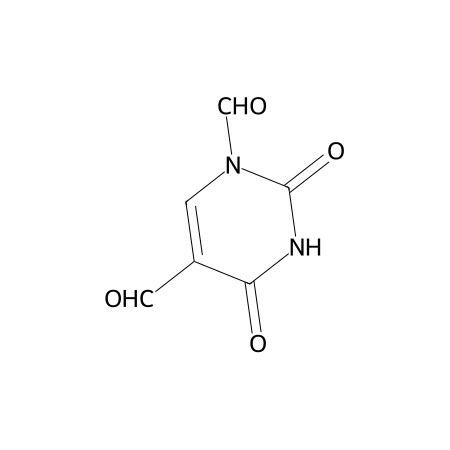 O=Cc1cn(C=O)c(=O)[nH]c1=O